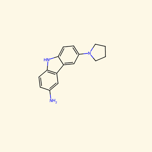 Nc1ccc2[nH]c3ccc(N4CCCC4)cc3c2c1